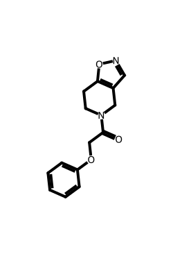 O=C(COc1ccccc1)N1CCc2oncc2C1